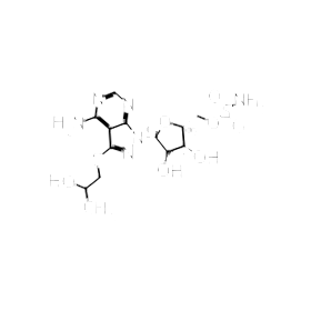 CC(O)CSc1nn([C@@H]2O[C@H](COS(N)(=O)=O)[C@@H](O)[C@H]2O)c2ncnc(N)c12